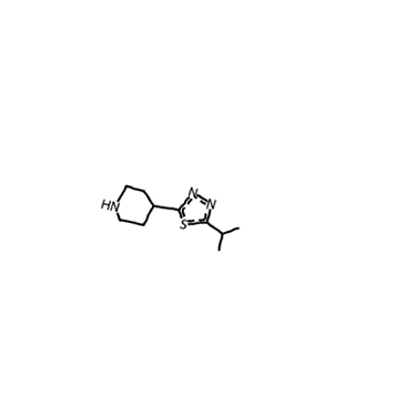 CC(C)c1nnc(C2CCNCC2)s1